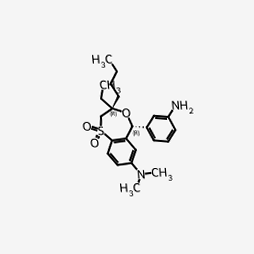 CCCC[C@]1(CC)CS(=O)(=O)c2ccc(N(C)C)cc2[C@@H](c2cccc(N)c2)O1